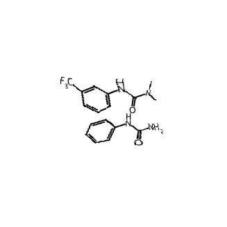 CN(C)C(=O)Nc1cccc(C(F)(F)F)c1.NC(=O)Nc1ccccc1